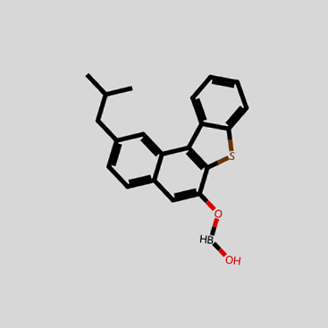 CC(C)Cc1ccc2cc(OBO)c3sc4ccccc4c3c2c1